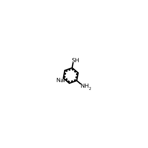 Nc1cccc(S)c1.[NaH]